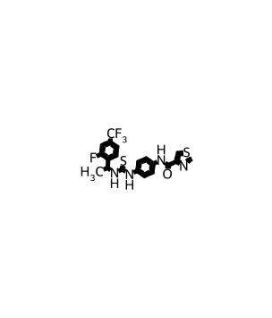 CC(NC(=S)Nc1ccc(NC(=O)c2cscn2)cc1)c1ccc(C(F)(F)F)cc1F